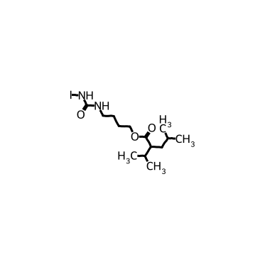 CC(C)CC(C(=O)OCCCCNC(=O)NI)C(C)C